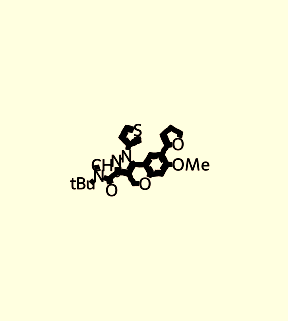 COc1cc2c(cc1C1=CCCO1)-c1c(c(C(=O)N(C)C(C)(C)C)nn1-c1ccsc1)CO2